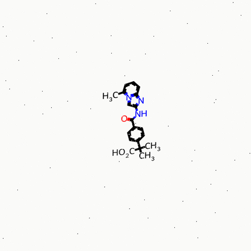 Cc1cccc2nc(NC(=O)c3ccc(C(C)(C)C(=O)O)cc3)cn12